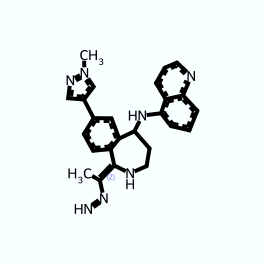 C/C(N=N)=C1/NCCC(Nc2cccc3ncccc23)c2cc(-c3cnn(C)c3)ccc21